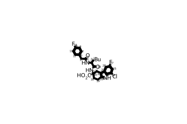 CCC(C)C(NC(=O)Cc1ccc(F)cc1)C(=O)N[C@]1(C(=O)O)CCc2[nH]c3c(Cl)cc(F)cc3c2C1